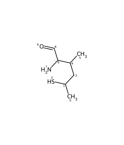 CC(S)CC(C)C(N)C=O